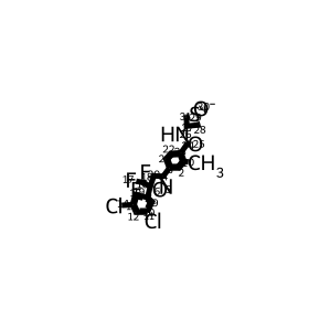 Cc1cc(C2=NOC(c3cc(Cl)cc(Cl)c3)(C(F)(F)F)C2)ccc1C(=O)N[C@H]1C[S@+]([O-])C1